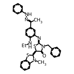 CCNc1ccc(/C(C)=N/Nc2ccccc2)cc1/N=C1\S/C(=C2\Sc3ccccc3N2C)C(=O)N1Cc1ccccc1